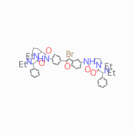 CCN(CC)[C@@H](C(=O)N1CCC[C@H]1C(=O)Nc1ccc(-c2oc3ccc(NC(=O)[C@@H]4CCCN4C(=O)[C@@H](c4ccccc4)N(CC)CC)cc3c2Br)cc1)c1ccccc1